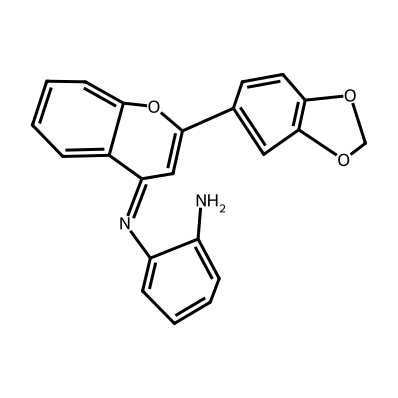 Nc1ccccc1N=c1cc(-c2ccc3c(c2)OCO3)oc2ccccc12